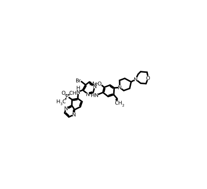 C=Cc1cc(Nc2ncc(Br)c(Nc3ccc4nccnc4c3P(C)(C)=O)n2)c(OC)cc1N1CCC(N2CCCOCC2)CC1